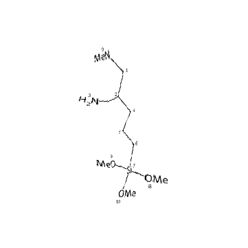 CNCC(N)CCC[Si](OC)(OC)OC